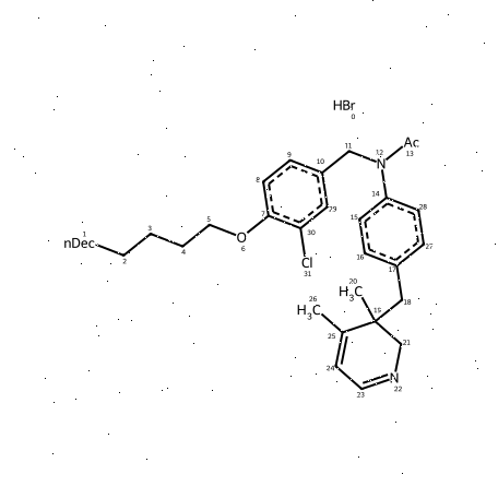 Br.CCCCCCCCCCCCCCOc1ccc(CN(C(C)=O)c2ccc(CC3(C)CN=CC=C3C)cc2)cc1Cl